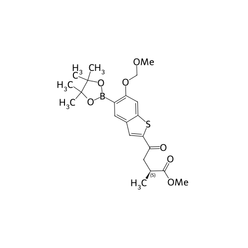 COCOc1cc2sc(C(=O)C[C@H](C)C(=O)OC)cc2cc1B1OC(C)(C)C(C)(C)O1